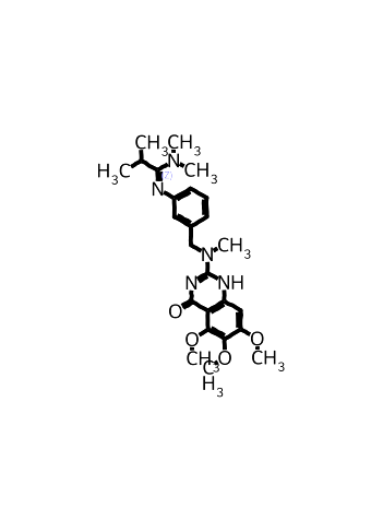 COc1cc2[nH]c(N(C)Cc3cccc(/N=C(/C(C)C)N(C)C)c3)nc(=O)c2c(OC)c1OC